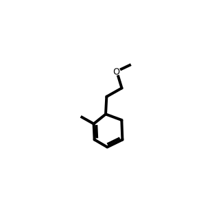 COCCC1CC=CC=C1C